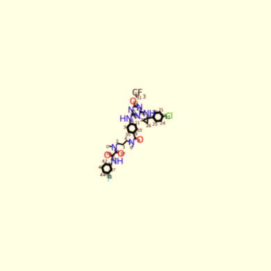 CN(CCCN(C)C(=O)c1ccc(Nc2nc(NC3(c4ccc(Cl)cc4)CC3)nc(OCC(F)(F)F)n2)cc1)C(=O)C(=O)Nc1cccc(F)c1